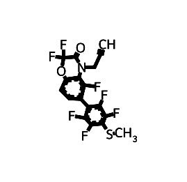 C#CCN1C(=O)C(F)(F)Oc2ccc(-c3c(F)c(F)c(SC)c(F)c3F)c(F)c21